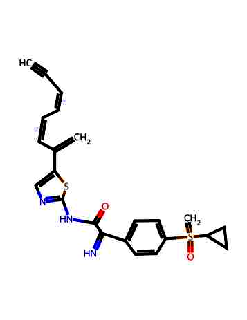 C#C/C=C\C=C/C(=C)c1cnc(NC(=O)C(=N)c2ccc(S(=C)(=O)C3CC3)cc2)s1